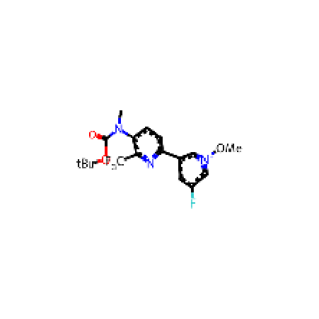 CO[n+]1cc(F)cc(-c2ccc(N(C)C(=O)OC(C)(C)C)c(C(F)(F)F)n2)c1